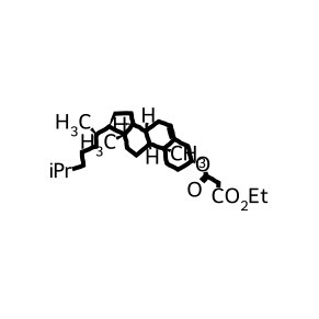 CCOC(=O)CC(=O)O[C@H]1CC[C@@]2(C)C(=CC[C@H]3[C@@H]4CC[C@H]([C@H](C)CCCC(C)C)[C@@]4(C)CC[C@@H]32)C1